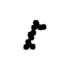 C[Si]1(C)c2cc(-c3ccc4c5ccccc5n(-c5ccccc5)c4c3)ccc2-c2ccc(-c3ccc4c5ccccc5n(-c5ccc6ccccc6c5)c4c3)cc21